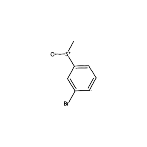 C[S+]([O-])c1cc[c]c(Br)c1